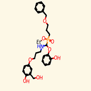 CCOP(=O)(CCCOCc1ccccc1)C(NCCCOc1ccc(O)c(CO)c1)Oc1ccccc1O